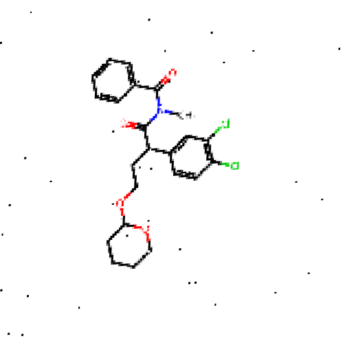 CN(C(=O)c1ccccc1)C(=O)C(CCOC1CCCCO1)c1ccc(Cl)c(Cl)c1